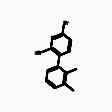 CCCc1nc(C(C)C)ccc1-c1cccc(C)c1C